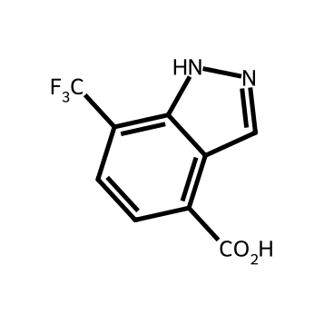 O=C(O)c1ccc(C(F)(F)F)c2[nH]ncc12